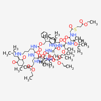 C=CCOC(=O)CCC(NC(=O)C(CCCCNC(CC(C)C)=C1C(=O)CC(C)(C)CC1=O)NC(=O)OCC1c2ccccc2-c2ccccc21)C(=O)N[C@@H](C)C(=O)NC(CCC(=O)OCC=C)C(=O)N[C@@H](CC(=O)OC(C)(C)C)C(=O)NC(C(=O)N[C@H](C(=O)NC(C(=O)NCC(=O)SCCC(=O)OCC)[C@@H](C)OC(C)(C)C)C(C)OC(C)(C)C)[C@H](C)CC